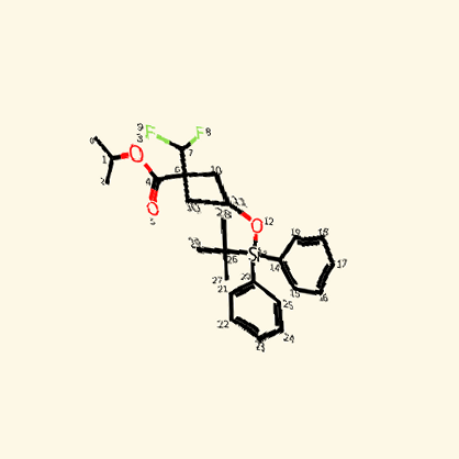 CC(C)OC(=O)C1(C(F)F)CC(O[Si](c2ccccc2)(c2ccccc2)C(C)(C)C)C1